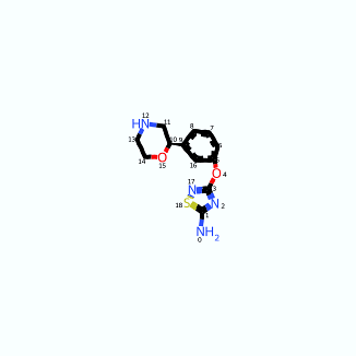 Nc1nc(Oc2cccc([C@@H]3CNCCO3)c2)ns1